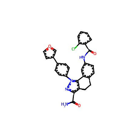 NC(=O)c1nn(-c2ccc(-c3ccoc3)cc2)c2c1CCc1ccc(NC(=O)c3ccccc3Cl)cc1-2